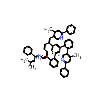 C\C=C/C=C\C(=C\c1cnc(-c2ccccc2)cc1C)C(=C\C)\C=C(/C=C/c1ccccc1/C=C/N=C(\C=C(C)C)c1ccccc1)c1ccccc1-c1cnc(-c2ccccc2)cc1C